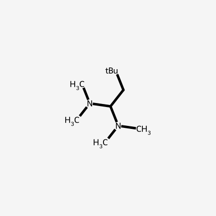 CN(C)C(CC(C)(C)C)N(C)C